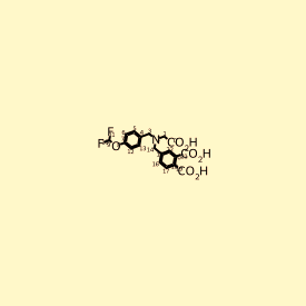 O=C(O)CN(Cc1ccc(OC(F)F)cc1)Cc1ccc(C(=O)O)c(C(=O)O)c1